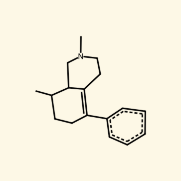 CC1CCC(c2ccccc2)=C2CCN(C)CC21